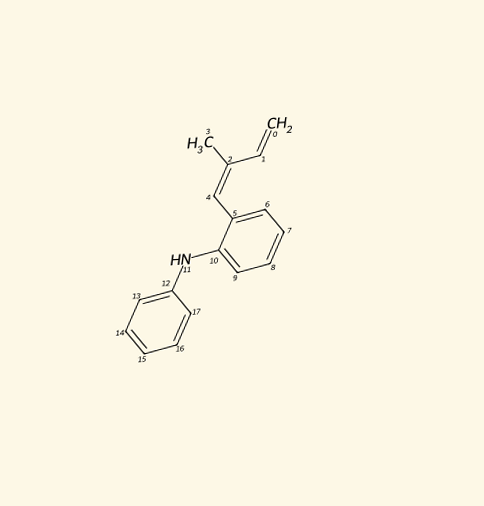 C=CC(C)=Cc1ccccc1Nc1ccccc1